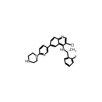 C[C@@H](Nc1c(Cl)cnc2ccc(-c3ccc(N4CCNCC4)nc3)cc12)c1ccccc1F